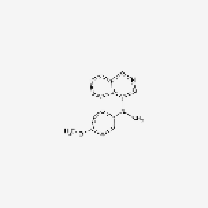 COc1ccc(N(C)c2cncc3ccccc23)cc1